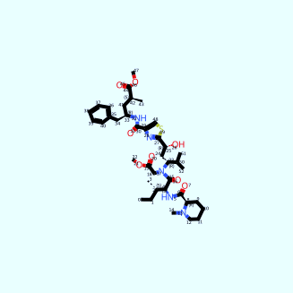 CC[C@H](C)[C@H](NC(=O)[C@H]1CCCCN1C)C(=O)N(CC(=O)OC)[C@H](C[C@@H](O)c1nc(C(=O)N[C@@H](Cc2ccccc2)C[C@H](C)C(=O)OC)cs1)C(C)C